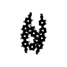 N#Cc1ccc(-c2ccc3c4ccc(-c5ccc(C#N)cc5)cc4n(-c4cc(C(F)(F)F)c(-n5c6cc(-c7ccc(C#N)cc7)ccc6c6ccc(-c7ccc(C#N)cc7)cc65)cc4-c4cccc(-c5ccccc5)n4)c3c2)cc1